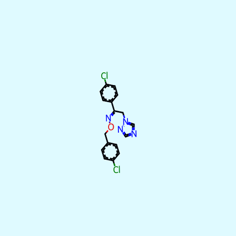 Clc1ccc(CON=C(Cn2cncn2)c2ccc(Cl)cc2)cc1